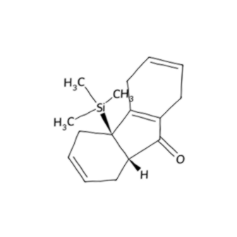 C[Si](C)(C)[C@]12CC=CC[C@H]1C(=O)C1=C2CC=CC1